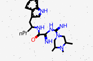 CCCC(Cc1c[nH]c2ccccc12)NC(=O)C(=N)NC(=N)N1CC(C)N(C)C(C)C1